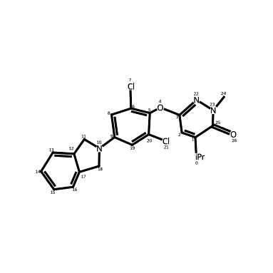 CC(C)c1cc(Oc2c(Cl)cc(N3Cc4ccccc4C3)cc2Cl)nn(C)c1=O